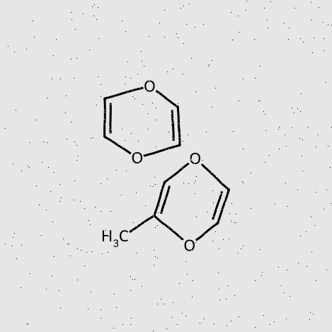 C1=COC=CO1.CC1=COC=CO1